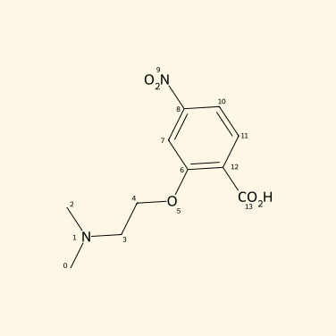 CN(C)CCOc1cc([N+](=O)[O-])ccc1C(=O)O